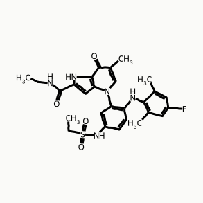 CCNC(=O)c1cc2c([nH]1)c(=O)c(C)cn2-c1cc(NS(=O)(=O)CC)ccc1Nc1c(C)cc(F)cc1C